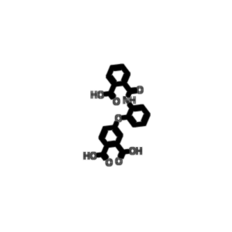 O=C(O)c1ccc(Oc2ccccc2NC(=O)c2ccccc2C(=O)O)cc1C(=O)O